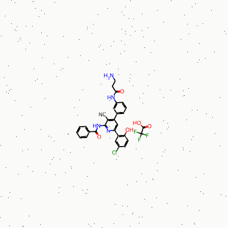 N#Cc1c(-c2cccc(NC(=O)CCN)c2)cc(-c2cc(Cl)ccc2O)nc1NC(=O)c1ccccc1.O=C(O)C(F)(F)F